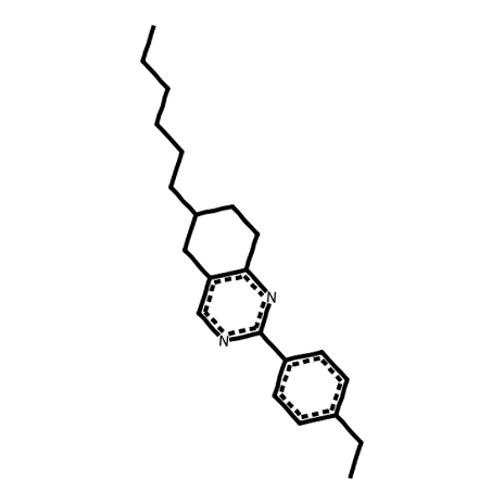 CCCCCCC1CCc2nc(-c3ccc(CC)cc3)ncc2C1